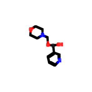 OB(OCN1CCOCC1)c1cccnc1